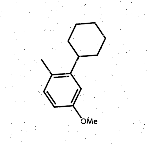 COc1ccc(C)c([C]2CCCCC2)c1